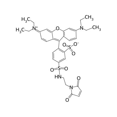 CCN(CC)c1ccc2c(-c3ccc(S(=O)(=O)NCCN4C(=O)C=CC4=O)cc3S(=O)(=O)[O-])c3ccc(=[N+](CC)CC)cc-3oc2c1